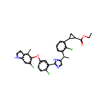 CCOC(=O)C1CC1c1cccc(C(C)c2cnc(-c3cc(Oc4c(F)cc5[nH]ccc5c4C)ccc3F)[nH]2)c1F